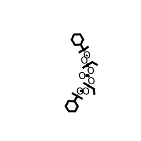 CCC(C)(OOC(C)(C)C1CCCCC1)OC(=O)OC(C)(CC)OOC(C)(C)C1CCCCC1